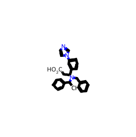 CC(c1ccccc1)N(Cc1ccccc1)C(CC(=O)O)c1cccc(-n2ccnc2)c1